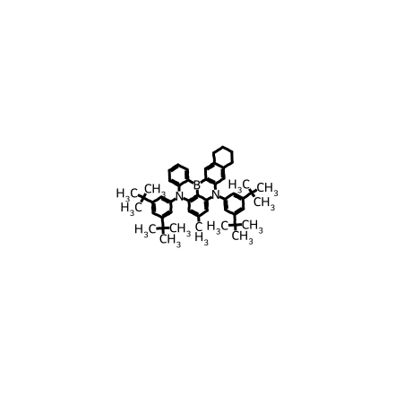 Cc1cc2c3c(c1)N(c1cc(C(C)(C)C)cc(C(C)(C)C)c1)c1cc4c(cc1B3c1ccccc1N2c1cc(C(C)(C)C)cc(C(C)(C)C)c1)CCCC4